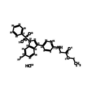 CCOC(=O)CNc1ccc(-c2cn(S(=O)(=O)c3ccccc3)c3cc(F)ccc23)cn1.Cl